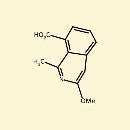 COc1cc2cccc(C(=O)O)c2c(C)n1